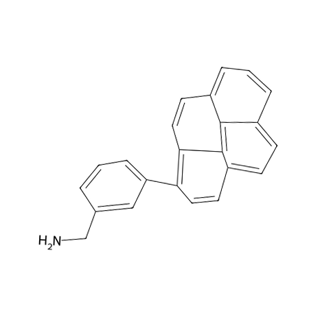 NCc1cccc(-c2ccc3ccc4cccc5ccc2c3c45)c1